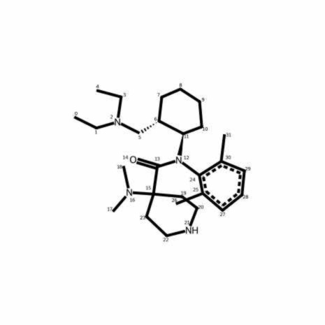 CCN(CC)C[C@@H]1CCCC[C@H]1N(C(=O)C1(N(C)C)CCNCC1)c1c(C)cccc1C